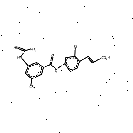 N=C(N)Nc1cc(C(=O)Nc2ccc(C=CC(=O)O)c(Cl)c2)cc(C(F)(F)F)c1